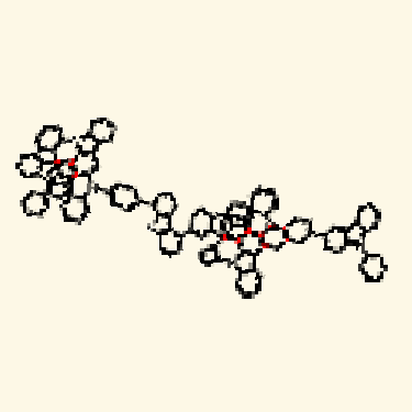 c1ccc(-c2ccccc2-c2ccccc2N(c2ccc(-c3cccc4c3oc3cccc(-c5ccc6c(c5)C5(c7ccccc7-6)c6ccccc6-n6c7ccccc7c7cc(N(c8ccc(-c9ccc%10c(c9)c9ccccc9n%10-c9ccccc9)cc8)c8ccccc8-c8ccccc8-c8ccccc8)cc5c76)c34)cc2)c2cc3c4c(c2)c2ccccc2n4-c2ccccc2C32c3ccccc3-c3ccccc32)cc1